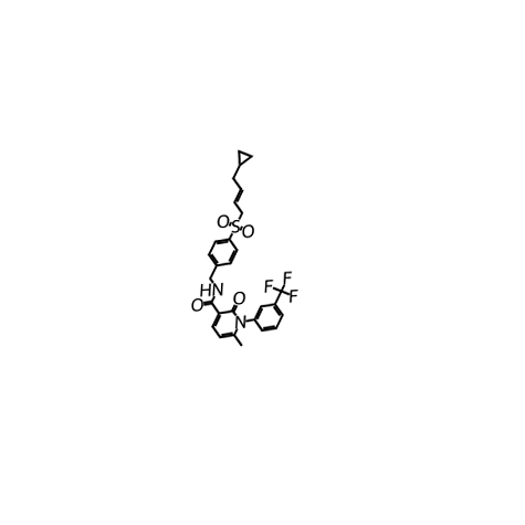 Cc1ccc(C(=O)NCc2ccc(S(=O)(=O)CC=CCC3CC3)cc2)c(=O)n1-c1cccc(C(F)(F)F)c1